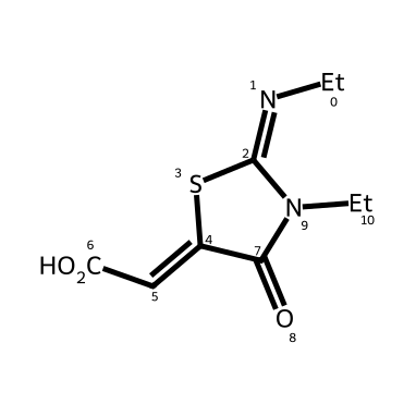 CCN=C1SC(=CC(=O)O)C(=O)N1CC